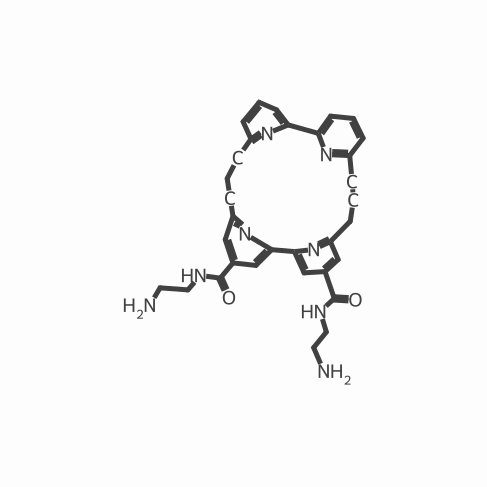 NCCNC(=O)c1cc2nc(c1)-c1cc(C(=O)NCCN)cc(n1)CCCc1cccc(n1)-c1cccc(n1)CCC2